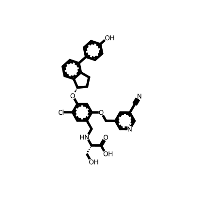 N#Cc1cncc(COc2cc(O[C@H]3CCc4c(-c5ccc(O)cc5)cccc43)c(Cl)cc2CN[C@@H](CO)C(=O)O)c1